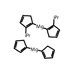 C1=CC[C]([Mg][C]2=CC=CC2)=C1.CC(C)C1=[C]([Mg][C]2=C(C(C)C)C=CC2)CC=C1